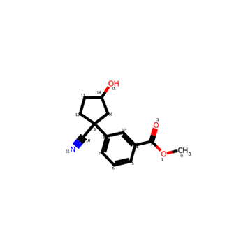 COC(=O)c1cccc(C2(C#N)CCC(O)C2)c1